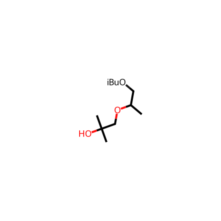 CC(C)COCC(C)OCC(C)(C)O